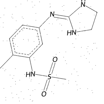 Cc1ccc(N=C2NCCN2)cc1NS(C)(=O)=O